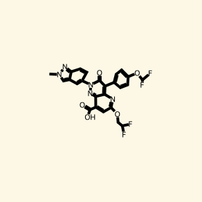 Cn1cc2cc(-n3nc4c(C(=O)O)cc(OCC(F)F)nc4c(-c4ccc(OC(F)F)cc4)c3=O)ccc2n1